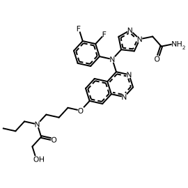 CCCN(CCCOc1ccc2c(N(c3cnn(CC(N)=O)c3)c3cccc(F)c3F)ncnc2c1)C(=O)CO